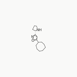 c1c([C@@H]2CCCN2)noc1C1CCCCCCC1